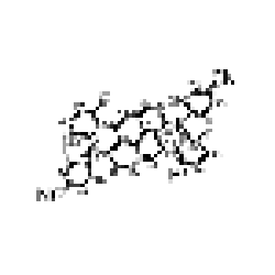 N#Cc1ccc(N(c2cc(F)ccc2F)c2ccc3ccc4c(N(c5ccc(C#N)cc5)c5cc(F)ccc5F)ccc5ccc2c3c54)cc1